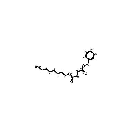 CC(C)CCCCCCCOC(=O)CCC(=O)OCc1ccccc1